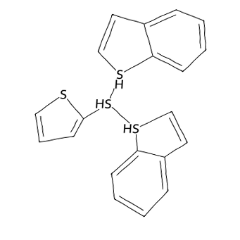 C1=C[SH]([SH](c2cccs2)[SH]2C=Cc3ccccc32)c2ccccc21